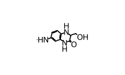 [NH]c1ccc2c(c1)NC(=O)C(CO)N2